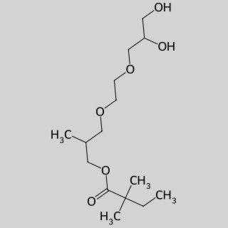 CCC(C)(C)C(=O)OCC(C)COCCOCC(O)CO